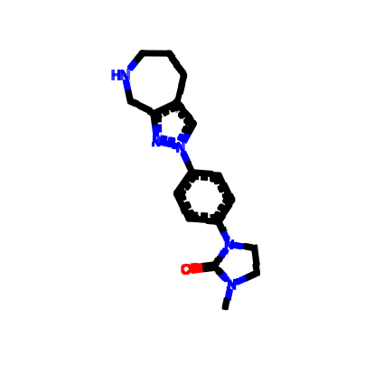 CN1CCN(c2ccc(-n3cc4c(n3)CNCCC4)cc2)C1=O